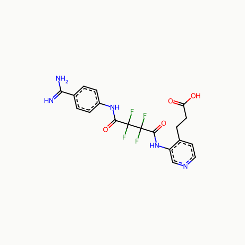 N=C(N)c1ccc(NC(=O)C(F)(F)C(F)(F)C(=O)Nc2cnccc2CCC(=O)O)cc1